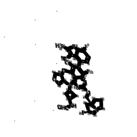 N#Cc1c(N)sc2c(F)ccc(-c3c(Cl)c4c5c(nc(OC[C@@]67CCCN6C[C@H](F)C7)nc5c3F)N(C3CC(NC=O)C3)C3COCC3O4)c12